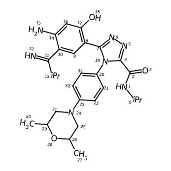 CC(C)NC(=O)c1nnc(-c2cc(C(=N)C(C)C)c(N)cc2O)n1-c1ccc(N2CC(C)OC(C)C2)cc1